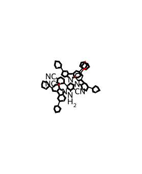 N#Cc1ccc(-c2c(-n3c4ccc(-c5ccccc5)cc4c4cc(-c5ccccc5)ccc43)c(N)c(C#N)c(-n3c4c(c5cc(-c6ccccc6)ccc53)C=C(c3ccccc3)CC4)c2-n2c3ccc(-c4ccccc4)cc3c3cc(-c4ccccc4)ccc32)cc1C#N